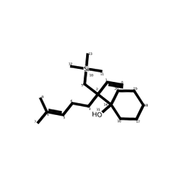 C=CC(CCC=C(C)C)(C[Si](C)(C)C)C1(O)CCCCC1